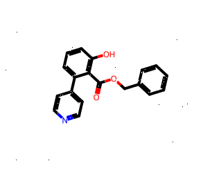 O=C(OCc1ccccc1)c1c(O)cccc1-c1ccncc1